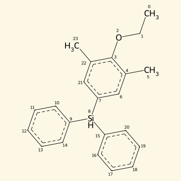 CCOc1c(C)cc([SiH](c2ccccc2)c2ccccc2)cc1C